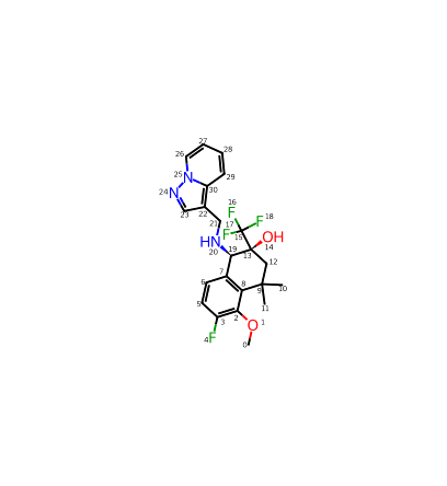 COc1c(F)ccc2c1C(C)(C)C[C@@](O)(C(F)(F)F)[C@@H]2NCc1cnn2ccccc12